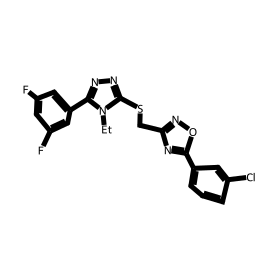 CCn1c(SCc2noc(-c3cccc(Cl)c3)n2)nnc1-c1cc(F)cc(F)c1